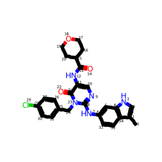 Cc1c[nH]c2cc(Nc3ncc(NC(=O)C4CCOCC4)c(=O)n3Cc3ccc(Cl)cc3)ccc12